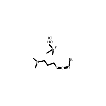 CCN=C=NCCCN(C)C.C[N+](C)(C)C.Cl.[OH-]